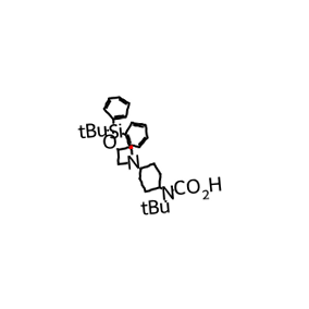 CC(C)(C)N(C(=O)O)C1CCC(N2CC(O[Si](c3ccccc3)(c3ccccc3)C(C)(C)C)C2)CC1